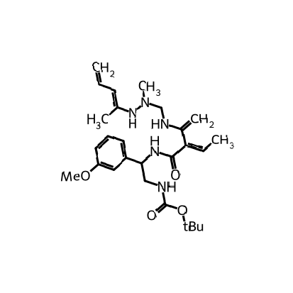 C=C/C=C(\C)NN(C)CNC(=C)/C(=C\C)C(=O)NC(CNC(=O)OC(C)(C)C)c1cccc(OC)c1